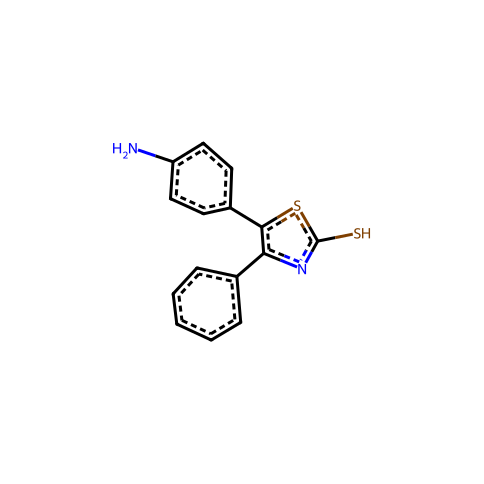 Nc1ccc(-c2sc(S)nc2-c2ccccc2)cc1